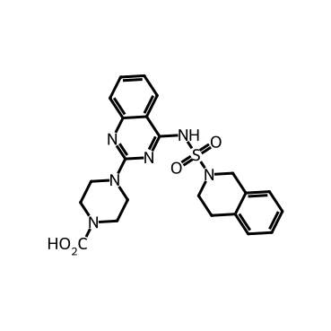 O=C(O)N1CCN(c2nc(NS(=O)(=O)N3CCc4ccccc4C3)c3ccccc3n2)CC1